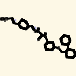 O=C(O)/C=C/c1ccc(/C=N/NC(=S)Nc2cccc(SCc3ccccc3-c3ccccc3)c2)cc1